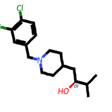 CC(C)[C@@H](O)CC1CCN(Cc2ccc(Cl)c(Cl)c2)CC1